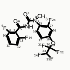 CN(C(=O)NC(=O)c1c(F)cccc1F)c1ccc(OC(F)(F)C(F)F)cc1F